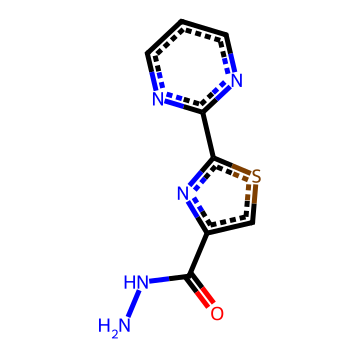 NNC(=O)c1csc(-c2ncccn2)n1